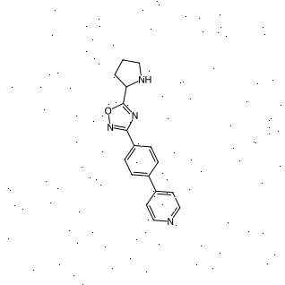 c1cc(-c2ccc(-c3noc(C4CCCN4)n3)cc2)ccn1